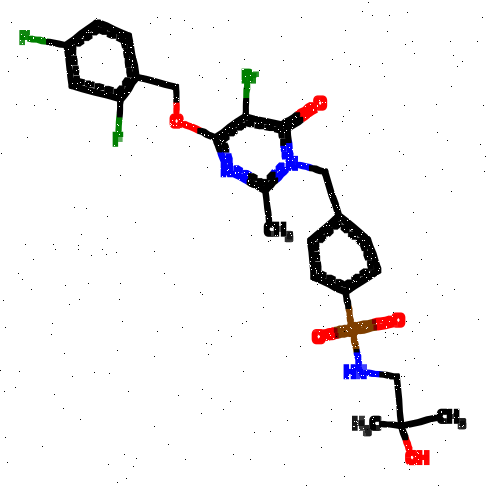 Cc1nc(OCc2ccc(F)cc2F)c(Br)c(=O)n1Cc1ccc(S(=O)(=O)NCC(C)(C)O)cc1